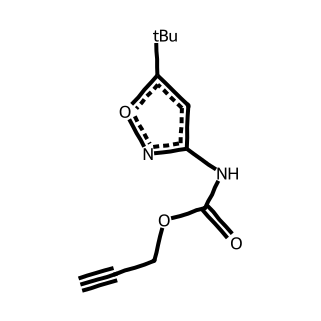 C#CCOC(=O)Nc1cc(C(C)(C)C)on1